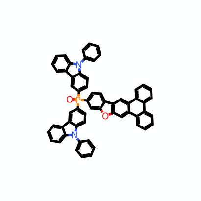 O=P(c1ccc2c(c1)oc1cc3c4ccccc4c4ccccc4c3cc12)(c1ccc2c(c1)c1ccccc1n2-c1ccccc1)c1ccc2c(c1)c1ccccc1n2-c1ccccc1